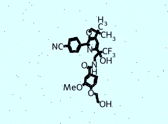 COc1cc(C(=O)NCC(O)(c2cc3c(c(-c4ccc(C#N)cc4)n2)OCC3(C)C)C(F)(F)F)ccc1OCCO